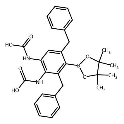 CC1(C)OB(c2c(Cc3ccccc3)cc(NC(=O)O)c(NC(=O)O)c2Cc2ccccc2)OC1(C)C